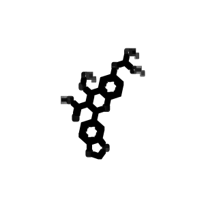 COC1=C(C(=O)O)C(c2ccc3c(c2)OCO3)Oc2ccc(OC(C)C)cc21